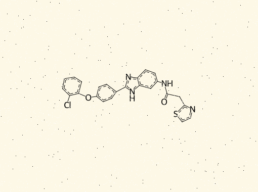 O=C(Cc1nccs1)Nc1ccc2nc(-c3ccc(Oc4ccccc4Cl)cc3)[nH]c2c1